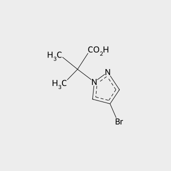 CC(C)(C(=O)O)n1cc(Br)cn1